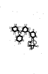 CC1(C)OB(c2cccc(-c3cccc(N(c4ccccc4)c4ccccc4)c3)c2)OC1(C)C